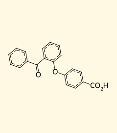 O=C(O)c1ccc(Oc2ccccc2C(=O)c2ccccc2)cc1